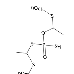 CCCCCCCCSC(C)OP(=O)(S)SC(C)SCCCCCCCC